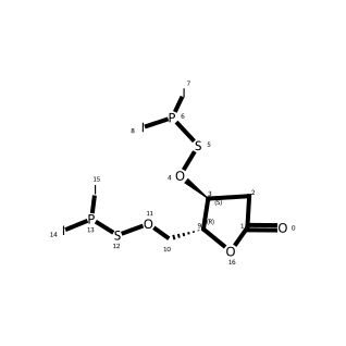 O=C1C[C@H](OSP(I)I)[C@@H](COSP(I)I)O1